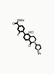 CNC(=O)c1ccc(-c2ccc3c(c2)CCN(C2CCN(C(C)C)C2)C3=O)c(F)c1.Cl